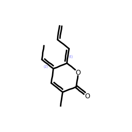 C=C/C=c1/oc(=O)c(C)c/c1=C/C